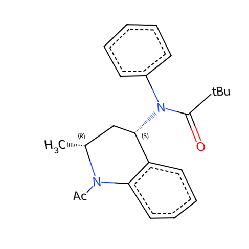 CC(=O)N1c2ccccc2[C@@H](N(C(=O)C(C)(C)C)c2ccccc2)C[C@H]1C